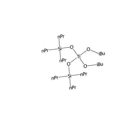 CCC[Si](CCC)(CCC)[O][Ti]([O]C(C)CC)([O]C(C)CC)[O][Si](CCC)(CCC)CCC